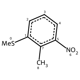 CSc1cccc([N+](=O)[O-])c1C